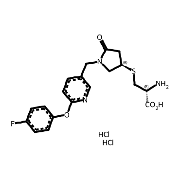 Cl.Cl.N[C@@H](CS[C@@H]1CC(=O)N(Cc2ccc(Oc3ccc(F)cc3)nc2)C1)C(=O)O